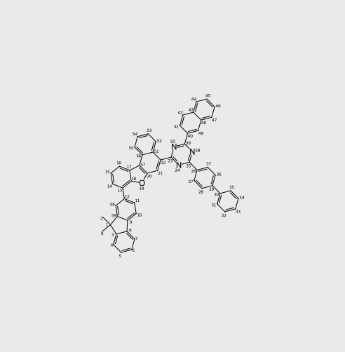 CC1(C)c2ccccc2-c2ccc(-c3cccc4c3oc3cc(-c5nc(-c6ccc(-c7ccccc7)cc6)nc(-c6ccc7ccccc7c6)n5)c5ccccc5c34)cc21